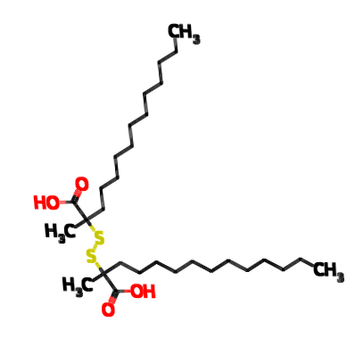 CCCCCCCCCCCCC(C)(SSC(C)(CCCCCCCCCCCC)C(=O)O)C(=O)O